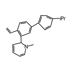 C=Cc1ccc(-c2ccc(C(C)C)cc2)cc1C1C=CC=CN1C